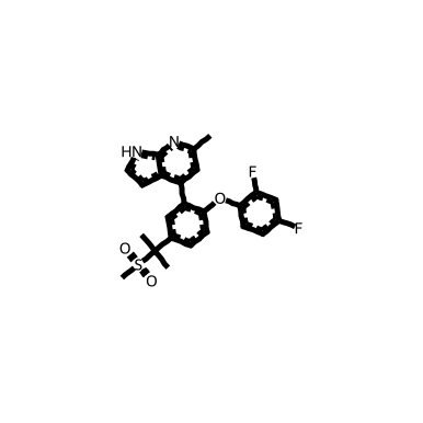 Cc1cc(-c2cc(C(C)(C)S(C)(=O)=O)ccc2Oc2ccc(F)cc2F)c2cc[nH]c2n1